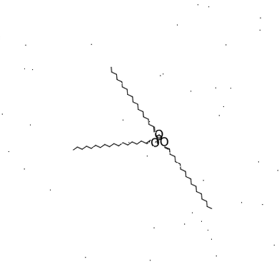 CCCCCCCCCCCCCCCCC=COP(OC=CCCCCCCCCCCCCCCCC)OC=CCCCCCCCCCCCCCCCC